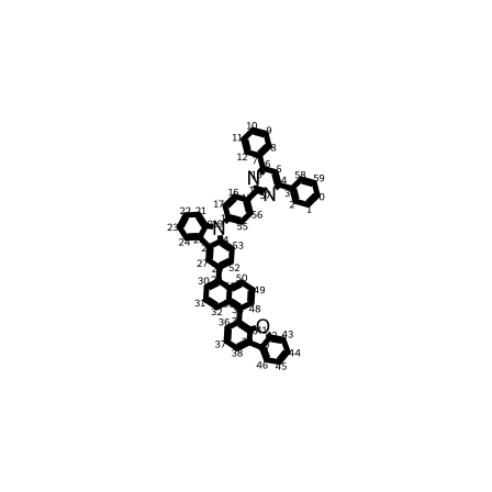 c1ccc(-c2cc(-c3ccccc3)nc(-c3ccc(-n4c5ccccc5c5cc(-c6cccc7c(-c8cccc9c8oc8ccccc89)cccc67)ccc54)cc3)n2)cc1